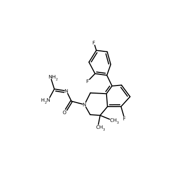 CC1(C)CN(C(=O)N=C(N)N)Cc2c(-c3ccc(F)cc3F)ccc(F)c21